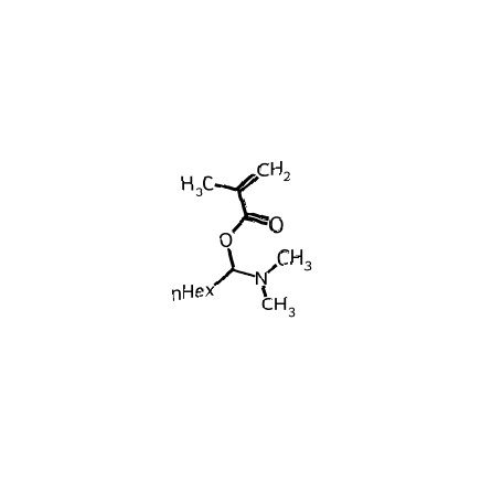 C=C(C)C(=O)OC(CCCCCC)N(C)C